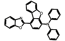 c1ccc(N(c2ccccc2)c2ccc(-c3nc4ccccc4o3)c3c2oc2ccccc23)cc1